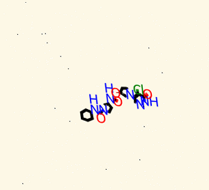 O=C(N[C@H]1CCN(C(=O)NC2CCCCC2)C1)O[C@@H]1CCN(c2cn[nH]c(=O)c2Cl)C1